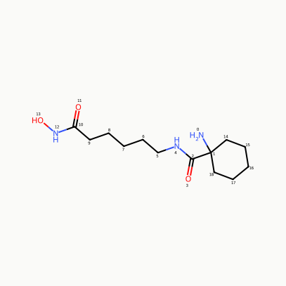 NC1(C(=O)NCCCCCC(=O)NO)CCCCC1